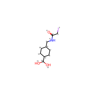 O=C(CI)NCC1CCC(C(O)O)CC1